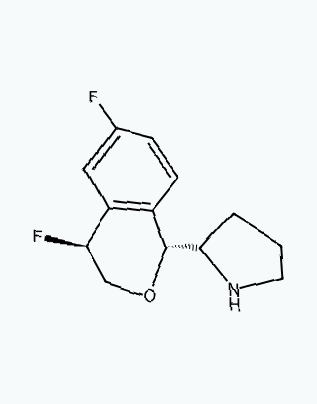 Fc1ccc2c(c1)[C@H](F)CO[C@H]2C1CCCN1